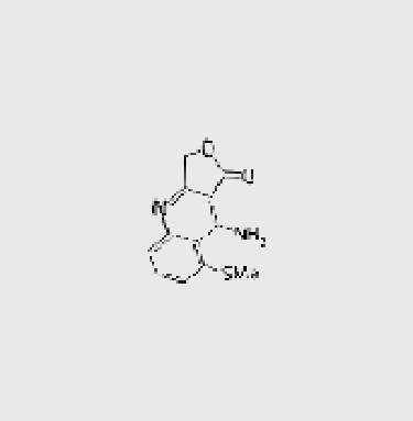 CSc1cccc2nc3c(c(N)c12)C(=O)OC3